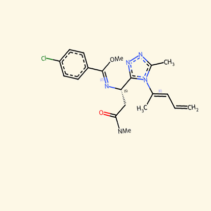 C=C/C=C(\C)n1c(C)nnc1[C@H](CC(=O)NC)/N=C(\OC)c1ccc(Cl)cc1